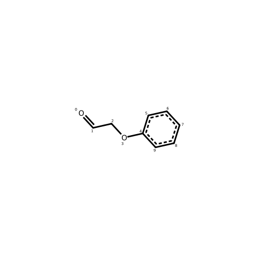 O=CCOc1ccccc1